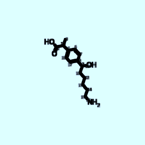 CC(C(=O)O)c1ccc(C(O)CCCCCN)cc1